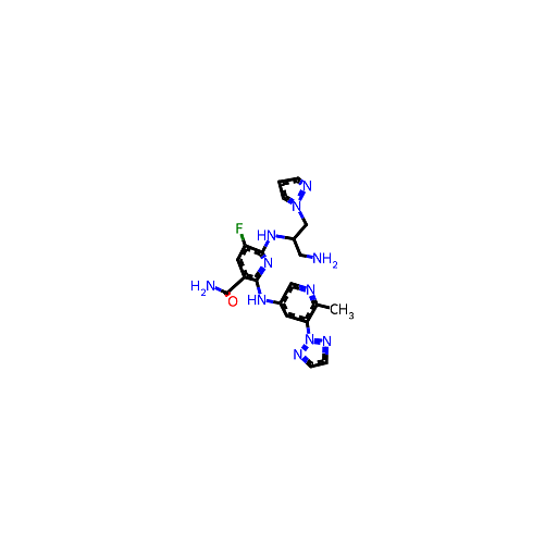 Cc1ncc(Nc2nc(NC(CN)Cn3cccn3)c(F)cc2C(N)=O)cc1-n1nccn1